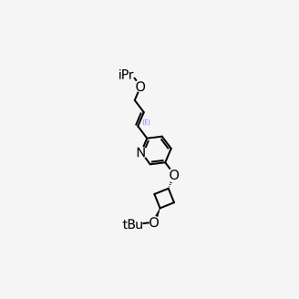 CC(C)OC/C=C/c1ccc(O[C@H]2C[C@H](OC(C)(C)C)C2)cn1